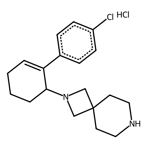 Cl.Clc1ccc(C2=CCCCC2N2CC3(CCNCC3)C2)cc1